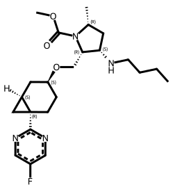 CCCCN[C@H]1C[C@@H](C)N(C(=O)OC)[C@H]1CO[C@H]1CC[C@@]2(c3ncc(F)cn3)C[C@H]2C1